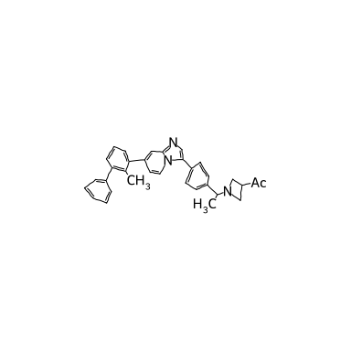 CC(=O)C1CN(C(C)c2ccc(-c3cnc4cc(-c5cccc(-c6ccccc6)c5C)ccn34)cc2)C1